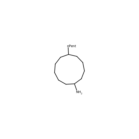 CCCCCC1CCCCCC(N)CCCC1